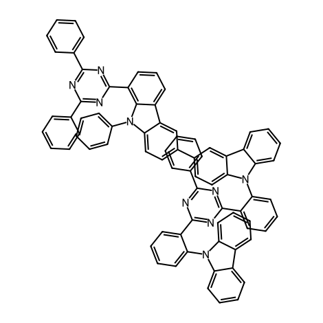 c1ccc(-c2nc(-c3ccccc3-n3c4ccccc4c4ccccc43)nc(-c3ccccc3-n3c4ccccc4c4cc(-c5ccc6c(c5)c5cccc(-c7nc(-c8ccccc8)nc(-c8ccccc8)n7)c5n6-c5ccccc5)ccc43)n2)cc1